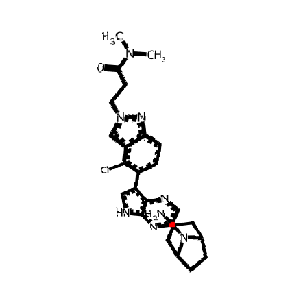 CN(C)C(=O)CCn1cc2c(Cl)c(-c3c[nH]c4nc(N5C6CCC5CC(N)C6)cnc34)ccc2n1